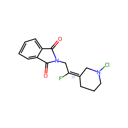 O=C1c2ccccc2C(=O)N1C/C(F)=C1/CCCN(Cl)C1